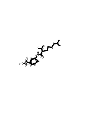 CC(C)CCCCC(C(=O)Nc1cccc(S(=O)(=O)O)c1)C(C)C